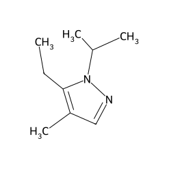 CCc1c(C)cnn1C(C)C